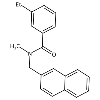 CCc1cccc(C(=O)N(C)Cc2ccc3ccccc3c2)c1